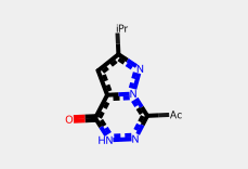 CC(=O)c1n[nH]c(=O)c2cc(C(C)C)nn12